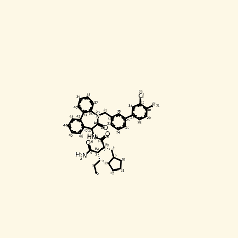 CCC[C@H](C(N)=O)[C@@H](CC1CCCC1)C(=O)NC1C(=O)N(Cc2cccc(-c3ccc(F)c(Cl)c3)c2)c2ccccc2-c2ccccc21